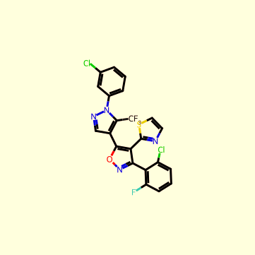 Fc1cccc(Cl)c1-c1noc(-c2cnn(-c3cccc(Cl)c3)c2C(F)(F)F)c1-c1nccs1